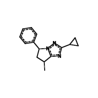 CC1CC(c2ccccc2)n2nc(C3CC3)nc21